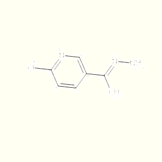 CC(=NN)c1ccc(Cl)nc1